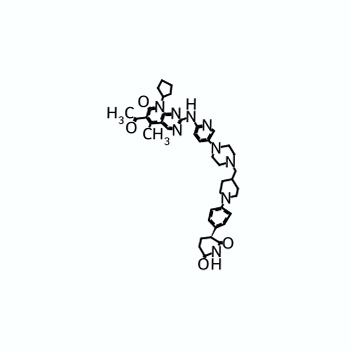 CC(=O)c1c(C)c2cnc(Nc3ccc(N4CCN(CC5CCN(c6ccc([C@@H]7CCC(=O)NC7=O)cc6)CC5)CC4)cn3)nc2n(C2CCCC2)c1=O